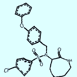 O=C1NCCCCC1N(Cc1ccc(Oc2ccccc2)cc1)S(=O)(=O)c1ccc(Cl)cc1